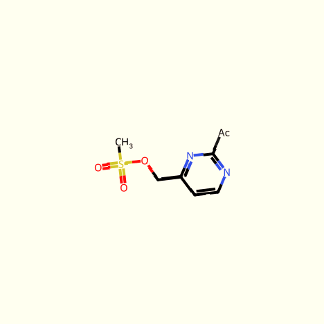 CC(=O)c1nccc(COS(C)(=O)=O)n1